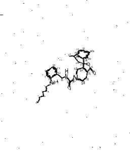 CCCCCCNc1ccccc1CNC(=O)N1CCC2=C(C1)C(CC(C)C)(c1ccccc1)OC2=O